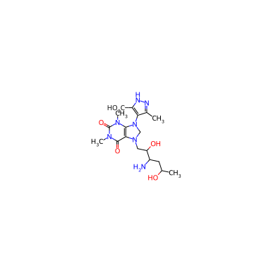 Cc1n[nH]c(C(=O)O)c1N1CN(CC(O)C(N)CC(C)O)c2c1n(C)c(=O)n(C)c2=O